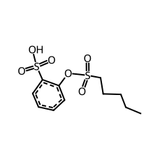 CCCCCS(=O)(=O)Oc1ccccc1S(=O)(=O)O